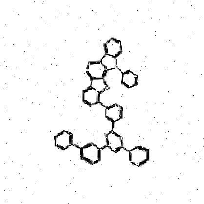 c1ccc(-c2cccc(-c3cc(-c4ccccc4)nc(-c4cccc(-c5cccc6c5oc5c6ccc6c7ccccc7n(-c7ccccc7)c65)c4)n3)c2)cc1